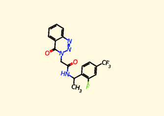 CC(NC(=O)Cn1nnc2ccccc2c1=O)c1ccc(C(F)(F)F)cc1F